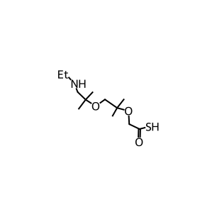 CCNCC(C)(C)OCC(C)(C)OCC(=O)S